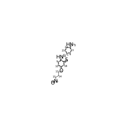 CNc1ccc(C2Nc3ccc(OCCCN=O)cc3S2)cc1